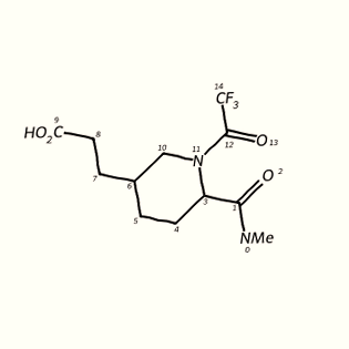 CNC(=O)C1CCC(CCC(=O)O)CN1C(=O)C(F)(F)F